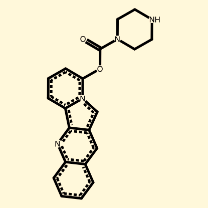 O=C(Oc1cccc2c3nc4ccccc4cc3cn12)N1CCNCC1